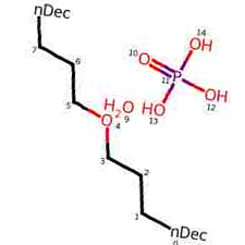 CCCCCCCCCCCCCOCCCCCCCCCCCCC.O.O=P(O)(O)O